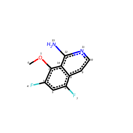 COc1c(F)cc(F)c2ccnc(N)c12